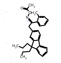 CCCC1(CCC)c2ccccc2-c2ccc(C/C(=N/OC(C)=O)c3ccccc3C)cc21